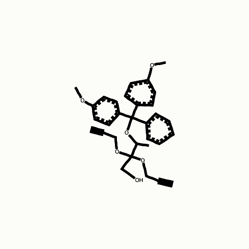 C#CCOC(CO)(OCC#C)C(C)OC(c1ccccc1)(c1ccc(OC)cc1)c1ccc(OC)cc1